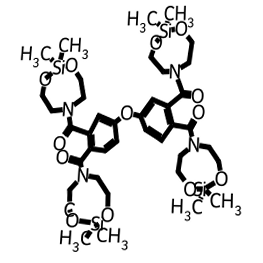 C[Si]1(C)OCCN(C(=O)c2ccc(Oc3ccc(C(=O)N4CCO[Si](C)(C)OCC4)c(C(=O)N4CCO[Si](C)(C)OCC4)c3)cc2C(=O)N2CCO[Si](C)(C)OCC2)CCO1